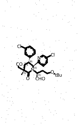 CC(C)(C)OCC[C@@H](C=O)N1C(=O)[C@](C)(CC(=O)O)C[C@H](c2cccc(Cl)c2)[C@H]1c1ccc(Cl)cn1